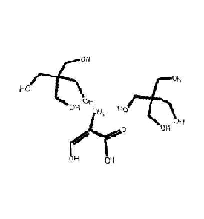 CC(=CO)C(=O)O.OCC(CO)(CO)CO.OCC(CO)(CO)CO